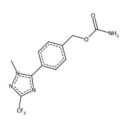 Cn1nc(C(F)(F)F)nc1-c1ccc(COC(N)=O)cc1